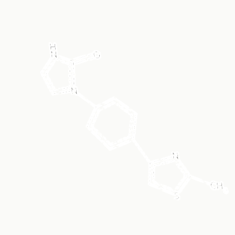 Cc1nc(-c2ccc(-n3cc[nH]c3=O)cc2)cs1